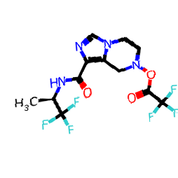 C[C@@H](NC(=O)c1ncn2c1CN(OC(=O)C(F)(F)F)CC2)C(F)(F)F